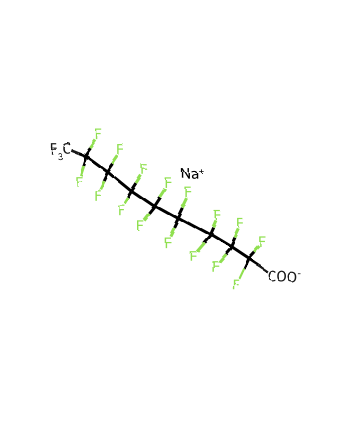 O=C([O-])C(F)(F)C(F)(F)C(F)(F)C(F)(F)C(F)(F)C(F)(F)C(F)(F)C(F)(F)C(F)(F)F.[Na+]